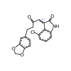 O=C(/C=C1/C(=O)Nc2cccc(Cl)c21)CCc1ccc2c(c1)OCO2